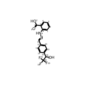 O=C(O)c1ccccc1N/N=C/c1ccc(C(O)C(F)(F)F)cc1